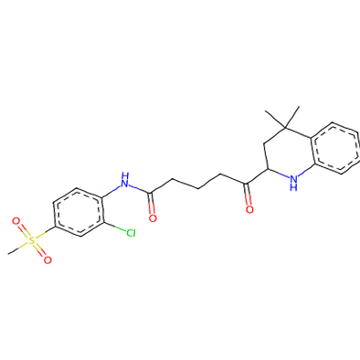 CC1(C)CC(C(=O)CCCC(=O)Nc2ccc(S(C)(=O)=O)cc2Cl)Nc2ccccc21